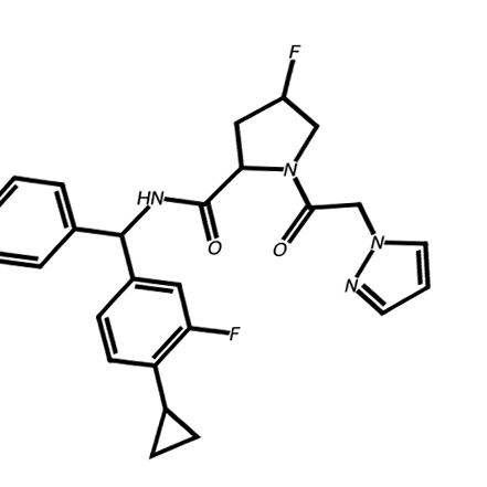 O=C(NC(c1ccccc1)c1ccc(C2CC2)c(F)c1)C1CC(F)CN1C(=O)Cn1cccn1